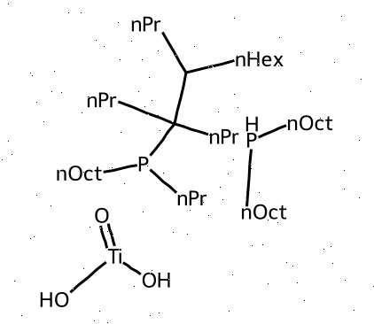 CCCCCCCCP(CCC)C(CCC)(CCC)C(CCC)CCCCCC.CCCCCCCCPCCCCCCCC.[O]=[Ti]([OH])[OH]